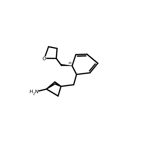 NC12CC(CC3C=CC=C[C@@H]3CC3CCO3)(C1)C2